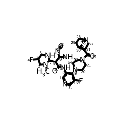 CN1CC(F)CNC1C(C(=O)Nc1cncc(F)c1N1CCN(C(=O)C2CN3CCC2CC3)CC1)C(N)N=O